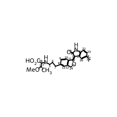 COC(C)C(NCCCc1ccc2c(c1)COC2=C1C(=O)Nc2ccc(F)cc21)C(=O)O